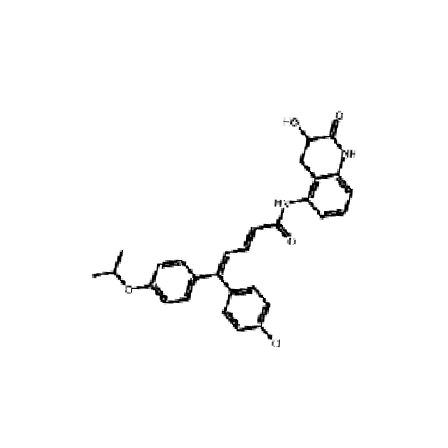 CC(C)Oc1ccc(C(=CC=CC(=O)Nc2cccc3c2CC(O)C(=O)N3)c2ccc(Cl)cc2)cc1